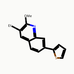 CCc1cc2ccc(-c3cccs3)cc2nc1OC